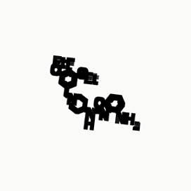 CCOc1cc(CN2CCC(Nc3nc4c(N)cccc4o3)CC2)cc(OCC)c1F